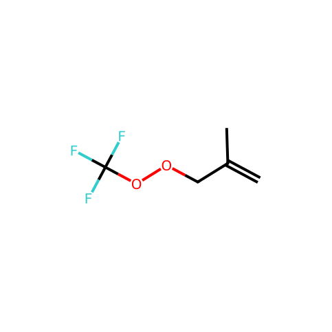 C=C(C)COOC(F)(F)F